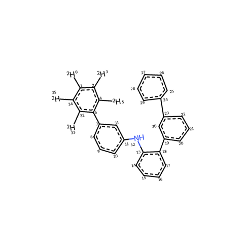 [2H]c1c([2H])c([2H])c(-c2cccc(Nc3ccccc3-c3cccc(-c4ccccc4)c3)c2)c([2H])c1[2H]